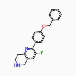 Fc1cc2c(nc1-c1ccc(OCc3ccccc3)cc1)CCNC2